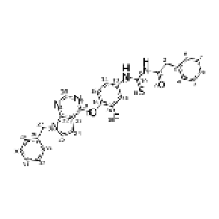 O=C(Cc1ccccc1)NC(=S)Nc1ccc(Oc2ncnc3c2ccn3Cc2ccccc2)c(F)c1